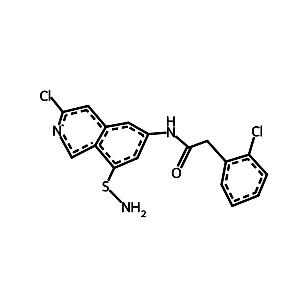 NSc1cc(NC(=O)Cc2ccccc2Cl)cc2cc(Cl)ncc12